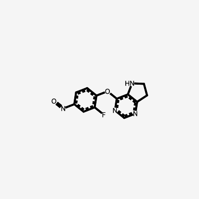 O=Nc1ccc(Oc2ncnc3c2NCC3)c(F)c1